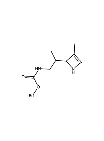 CC1=NNC1C(C)CNC(=O)OC(C)(C)C